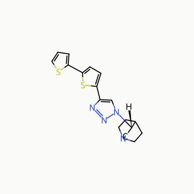 c1csc(-c2ccc(-c3cn([C@H]4CN5CCC4CC5)nn3)s2)c1